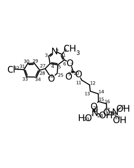 Cc1ncc2c(c1OC(=O)OCCCCC(CON(O)O)ON(O)O)COC2c1ccc(Cl)cc1